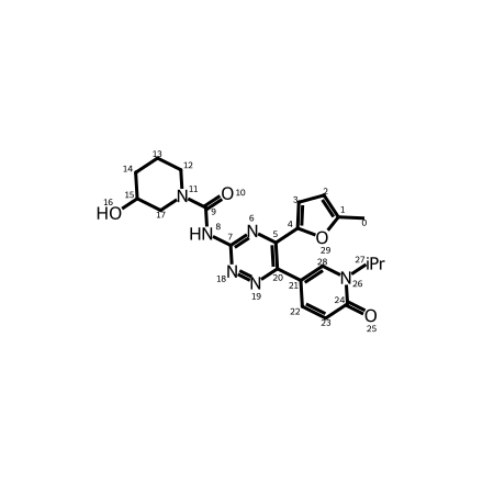 Cc1ccc(-c2nc(NC(=O)N3CCCC(O)C3)nnc2-c2ccc(=O)n(C(C)C)c2)o1